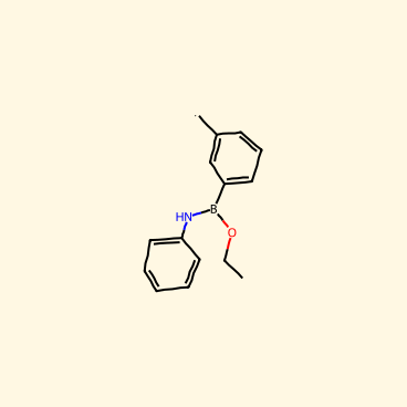 [CH2]c1cccc(B(Nc2ccccc2)OCC)c1